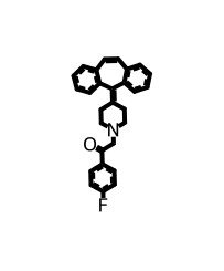 O=C(CN1CCC(=C2c3ccccc3C=Cc3ccccc32)CC1)c1ccc(F)cc1